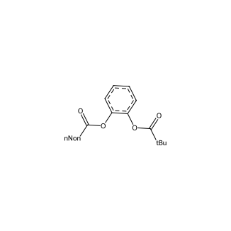 CCCCCCCCCC(=O)Oc1ccccc1OC(=O)C(C)(C)C